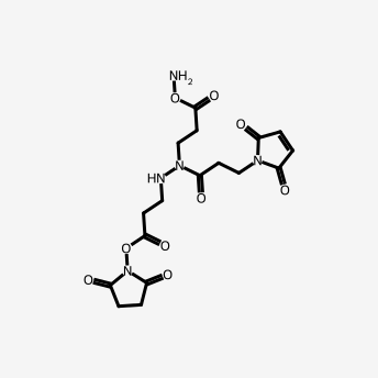 NOC(=O)CCN(NCCC(=O)ON1C(=O)CCC1=O)C(=O)CCN1C(=O)C=CC1=O